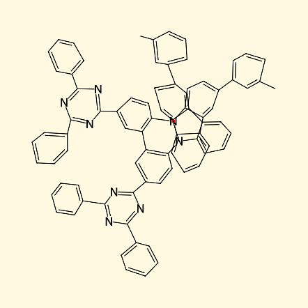 Cc1cccc(-c2ccc3c(c2)c2ccccc2n3-c2ccc(-c3nc(-c4ccccc4)nc(-c4ccccc4)n3)cc2-c2cc(-c3nc(-c4ccccc4)nc(-c4ccccc4)n3)ccc2-n2c3ccccc3c3cc(-c4cccc(C)c4)ccc32)c1